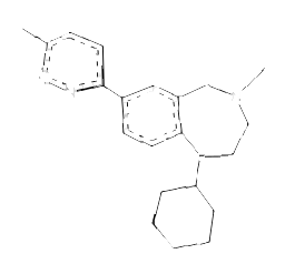 Cc1ccc(-c2ccc3c(c2)CN(C)CCC3C2CCCCC2)nn1